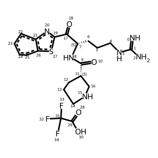 N=C(N)NCCC[C@H](NC(=O)[C@H]1CCCNC1)C(=O)c1nc2ccccc2s1.O=C(O)C(F)(F)F